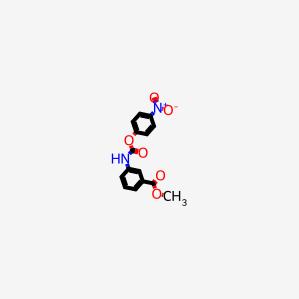 COC(=O)c1cccc(NC(=O)Oc2ccc([N+](=O)[O-])cc2)c1